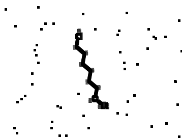 [CH2]COCCCCCCCl